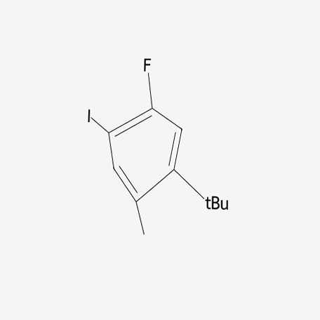 Cc1cc(I)c(F)cc1C(C)(C)C